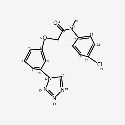 CN(C(=O)COc1cccc(-n2cnnn2)c1)c1ccc(Cl)cc1